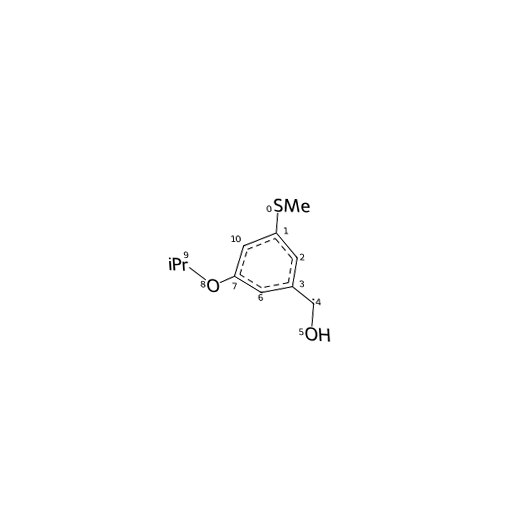 CSc1cc([CH]O)cc(OC(C)C)c1